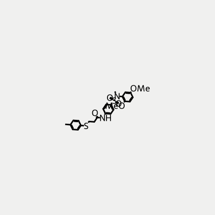 COc1ccc(OC)c(N(C)S(=O)(=O)c2ccc(NC(=O)CCSc3ccc(C)cc3)cc2)c1